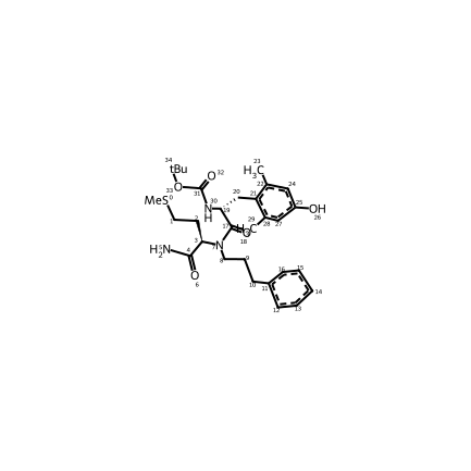 CSCC[C@H](C(N)=O)N(CCCc1ccccc1)C(=O)[C@@H](Cc1c(C)cc(O)cc1C)NC(=O)OC(C)(C)C